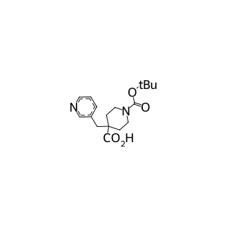 CC(C)(C)OC(=O)N1CCC(Cc2cccnc2)(C(=O)O)CC1